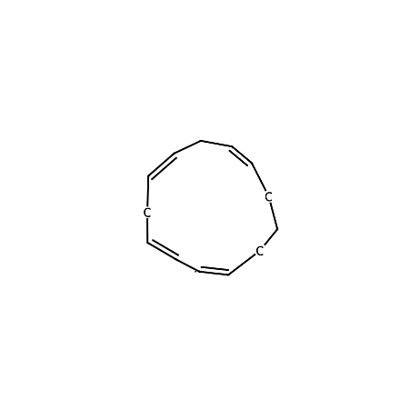 [C]1=CCCCC=CCC=CCC=C1